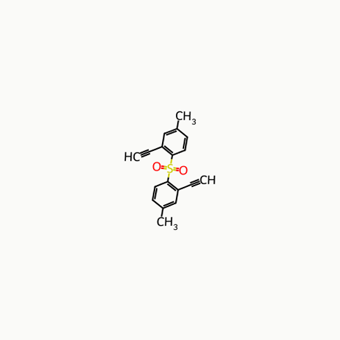 C#Cc1cc(C)ccc1S(=O)(=O)c1ccc(C)cc1C#C